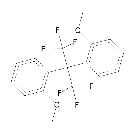 COc1ccccc1C(c1ccccc1OC)(C(F)(F)F)C(F)(F)F